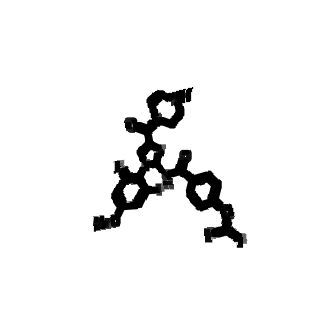 COc1cc(F)c(-n2cc(C(=O)N3CCNCC3)nc2NC(=O)c2ccc(OC(F)F)cc2)c(F)c1